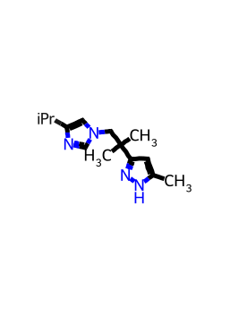 Cc1cc(C(C)(C)Cn2cnc(C(C)C)c2)n[nH]1